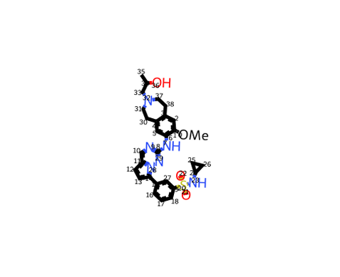 COc1cc2c(cc1Nc1ncc3ccc(-c4cccc(S(=O)(=O)NC5CC5)c4)n3n1)CCN(CC(C)O)CC2